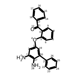 Nc1cc(Oc2ccccc2C(=O)c2ccccc2)cc(-c2ccccc2)c1N